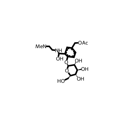 CNCCNC(O)c1cc(COC(C)=O)ccc1O[C@@H]1O[C@H](CO)[C@@H](O)[C@H](O)[C@H]1O